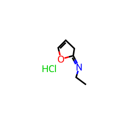 CCN=C1CC=CO1.Cl